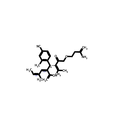 C=C(N)CCOCC(=O)C(=C(C)C)[C@H](/C(=C/C(C)=C\C)C(=C)O)c1ccc(C#N)cc1C